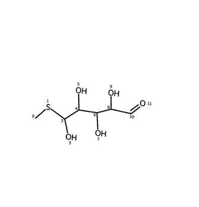 CSC(O)C(O)C(O)C(O)C=O